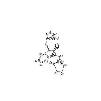 O=C1/C(=C\c2ccc[nH]2)c2ccccc2N1CN1CCCC1